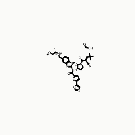 COC[C@H](C)NCc1ccc2c(c1)nc(NC(=O)c1ccc(-c3cnco3)s1)n2C[C@H]1CCCN1C(=O)C(C#N)=CC(C)(C)C.O=CO